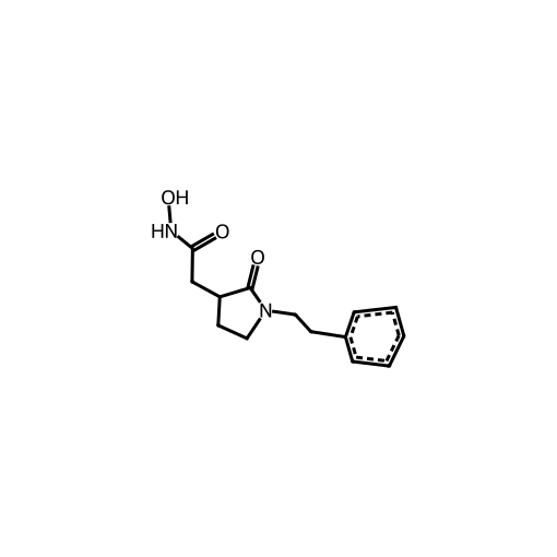 O=C(CC1CCN(CCc2ccccc2)C1=O)NO